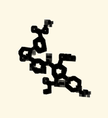 C=CC(=O)Nc1cc(Nc2cc(N3OCC[C@@H]3c3cccc(C(=O)OC(C)C)c3)ncn2)c(OC)cc1N1CCN(CCC)CC1